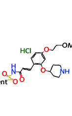 CCCCCS(=O)(=O)NC(=O)C=Cc1ccc(OCCOC)cc1OC1CCNCC1.Cl